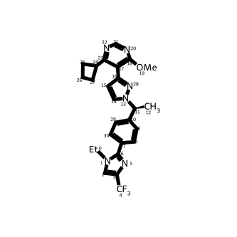 CCn1cc(C(F)(F)F)nc1-c1ccc([C@H](C)n2ccc(-c3c(OC)ncnc3C3CCC3)n2)cc1